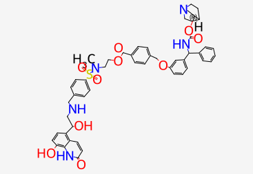 CN(CCOC(=O)c1ccc(COc2cccc(C(NC(=O)O[C@H]3CN4CCC3CC4)c3ccccc3)c2)cc1)S(=O)(=O)c1ccc(CNCC(O)c2ccc(O)c3[nH]c(=O)ccc23)cc1